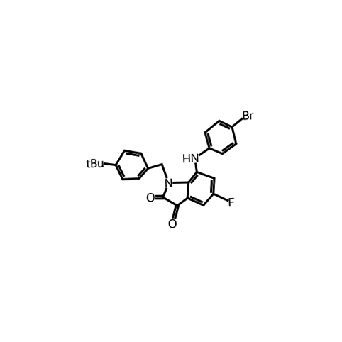 CC(C)(C)c1ccc(CN2C(=O)C(=O)c3cc(F)cc(Nc4ccc(Br)cc4)c32)cc1